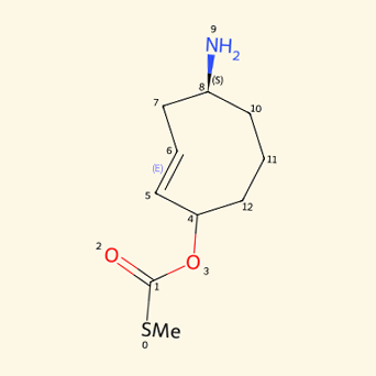 CSC(=O)OC1/C=C/C[C@@H](N)CCC1